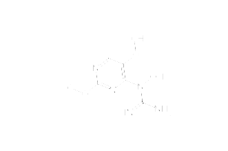 COc1ncc(OC)c(N(O)C(=N)N)n1